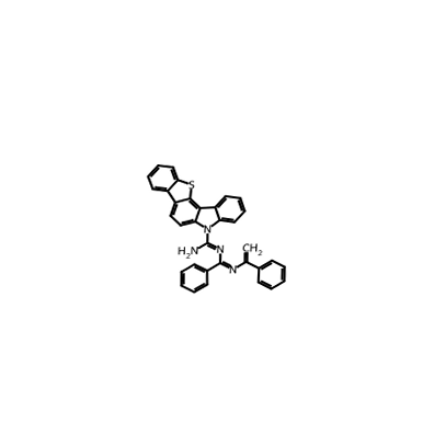 C=C(/N=C(\N=C(/N)n1c2ccccc2c2c3sc4ccccc4c3ccc21)c1ccccc1)c1ccccc1